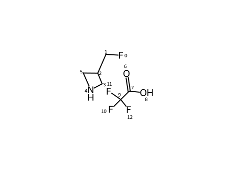 FCC1CNC1.O=C(O)C(F)(F)F